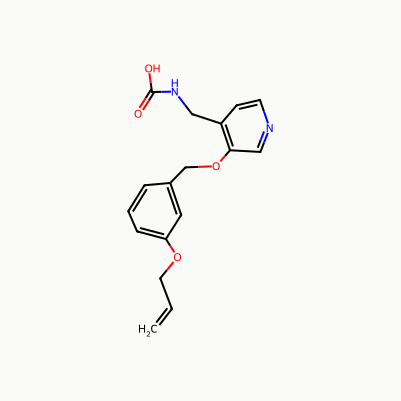 C=CCOc1cccc(COc2cnccc2CNC(=O)O)c1